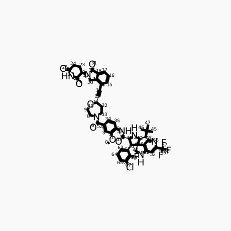 COc1cc(C(=O)N2CCO[C@H](C#Cc3cccc4c3CN(C3CCC(=O)NC3=O)C4=O)CC2)ccc1NC(=O)[C@@H]1N[C@@H](CC(C)(C)C)[C@@]2(CNc3cc(C(F)(F)F)ncc32)[C@H]1c1cccc(Cl)c1F